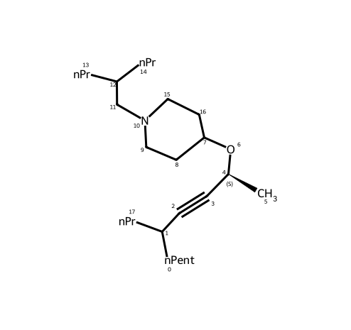 CCCCCC(C#C[C@H](C)OC1CCN(CC(CCC)CCC)CC1)CCC